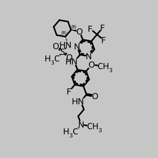 COc1cc(C(=O)NCCN(C)C)c(F)cc1Nc1ncc(C(F)(F)F)c(O[C@@H]2CCCC[C@H]2NS(C)(=O)=O)n1